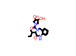 CCC(C)C1C(=O)Nc2ccccc2CN1C(=O)N1CC(O)C(O)C1